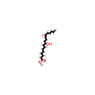 CCCCCC1OC1CCC(O)CCCCCCCC(=O)OC